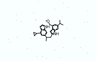 COCc1cc(C(C)C)cc2[nH]c(CC(C)c3cc(C4CC4)c4cc[nH]c4c3)cc12